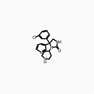 O=C1NCC(c2cccnc2)(c2cccc(Cl)c2)N1C1CCNCC1